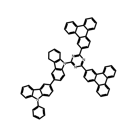 C1=Cc2c(c3cc(-c4ccc5c(c4)c4ccccc4n5-c4ccccc4)ccc3n2-c2nc(-c3ccc4c5ccccc5c5ccccc5c4c3)nc(-c3ccc4c5ccccc5c5ccccc5c4c3)n2)CC1